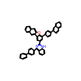 C1=CC2=C(c3ccc(-c4ccccc4)cc3)N=C(c3cc(-c4ccc(-c5ccc6ccccc6c5)cc4)c4oc5cc6ccccc6cc5c4c3)NC2C=C1